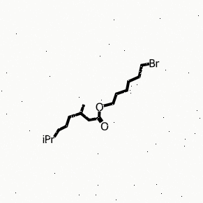 CC(C)CCCC(C)CC(=O)OCCCCCCBr